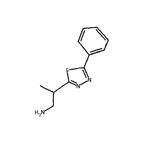 CC(CN)c1nnc(-c2ccccc2)s1